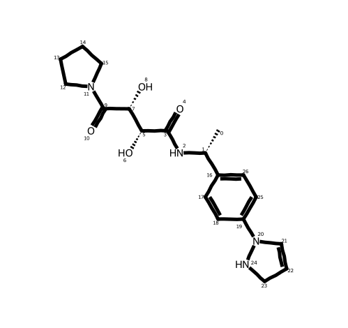 C[C@@H](NC(=O)[C@H](O)[C@@H](O)C(=O)N1CCCC1)c1ccc(N2C=CCN2)cc1